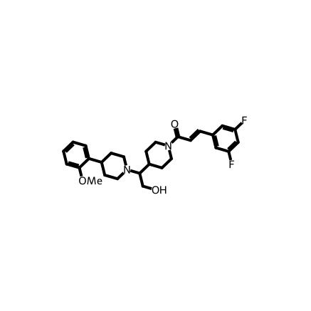 COc1ccccc1C1CCN(C(CO)C2CCN(C(=O)C=Cc3cc(F)cc(F)c3)CC2)CC1